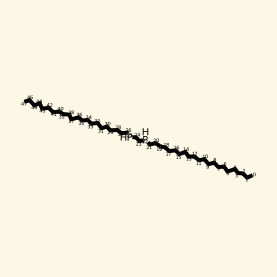 CCCCCCCCCCCCCCCCCCCCCCPCCPCCCCCCCCCCCCCCCCCCCCCC